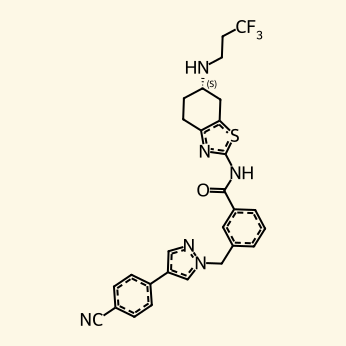 N#Cc1ccc(-c2cnn(Cc3cccc(C(=O)Nc4nc5c(s4)C[C@@H](NCCC(F)(F)F)CC5)c3)c2)cc1